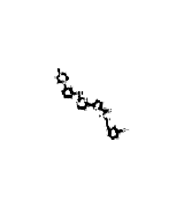 CN1CCN(c2cccc(Nc3nccc(-c4ccc(C(=O)NCCc5cccc(O)c5)s4)n3)c2)CC1